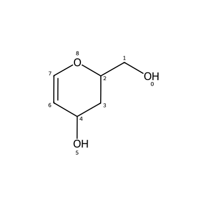 OCC1CC(O)C=CO1